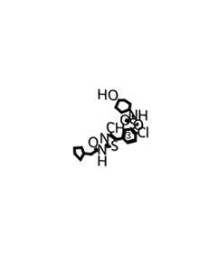 Cc1nc(NC(=O)CC2CCCC2)sc1-c1ccc(Cl)c(S(=O)(=O)N[C@H]2CC[C@@H](O)CC2)c1